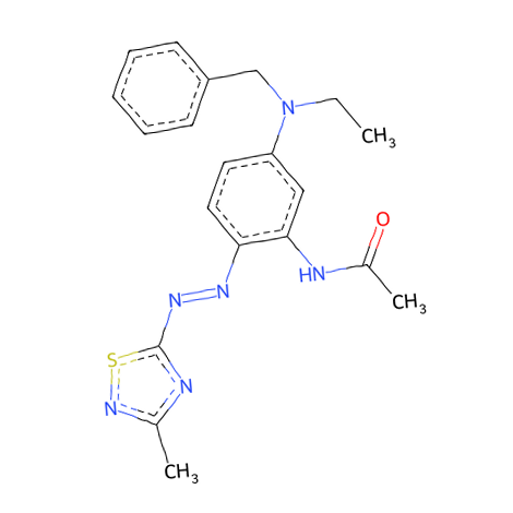 CCN(Cc1ccccc1)c1ccc(N=Nc2nc(C)ns2)c(NC(C)=O)c1